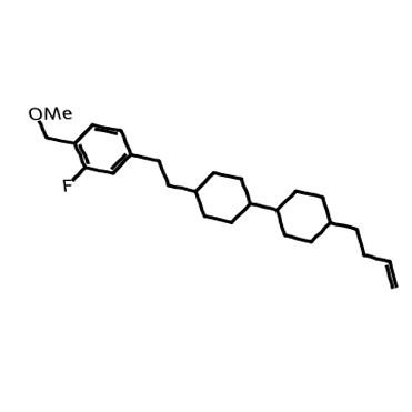 C=CCCC1CCC(C2CCC(CCc3ccc(COC)c(F)c3)CC2)CC1